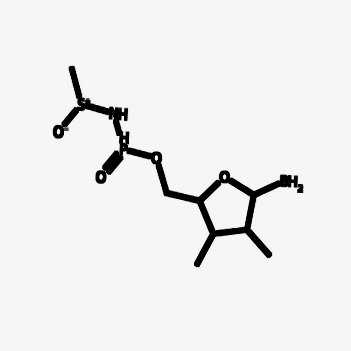 BC1OC(CO[PH](=O)N[S+](C)[O-])C(C)C1C